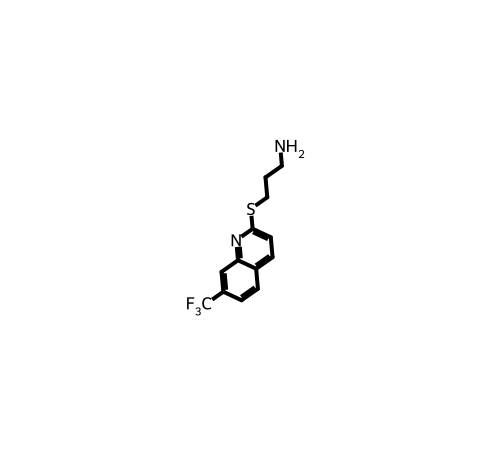 NCCCSc1ccc2ccc(C(F)(F)F)cc2n1